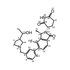 CC(O)C1CCN(Cc2ccnc(-c3ccc4c(c3F)[C@@H](C)N([C@H]3CCC(=O)NC3=O)C4=O)c2)C1